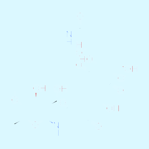 CO[C@@H]1[C@@H](O)[C@@H](CO)[C@@H](NC2=CC(=O)c3c(cc4c(c3O)C(=O)[C@]3(OC)[C@H](O)Cc5cc(C)c(C(=O)NC(C)C)c(O)c5[C@]3(O)C4=O)C2=O)O[C@H]1C